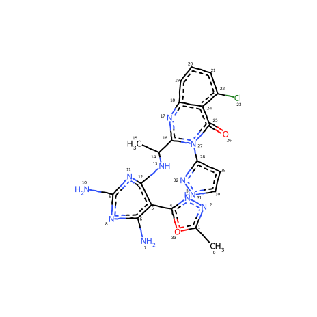 Cc1nnc(-c2c(N)nc(N)nc2NC(C)c2nc3cccc(Cl)c3c(=O)n2-c2cc[nH]n2)o1